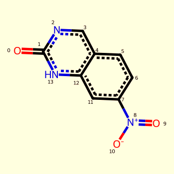 O=c1ncc2ccc([N+](=O)[O-])cc2[nH]1